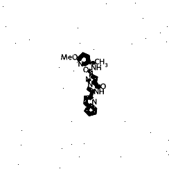 COc1ccc(C(C)NC(=O)c2cc3c(=O)[nH]c(-c4ccc5ccccc5n4)cn3n2)cn1